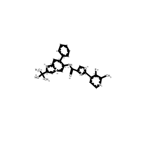 Cc1nccc(-c2nc(C(=O)Nc3cn4cc(C(C)(C)O)nc4cc3-c3ccccc3)co2)c1F